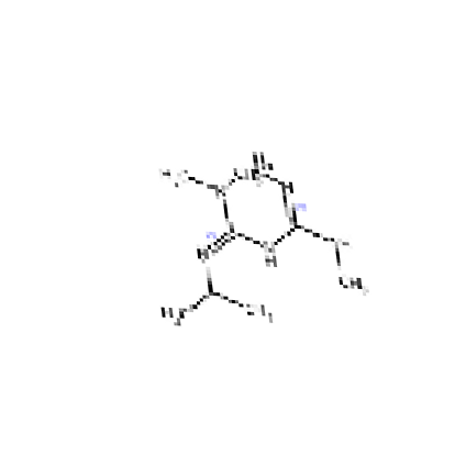 C/N=C(/NC)N/C(=N\C(C)C)N(C)C